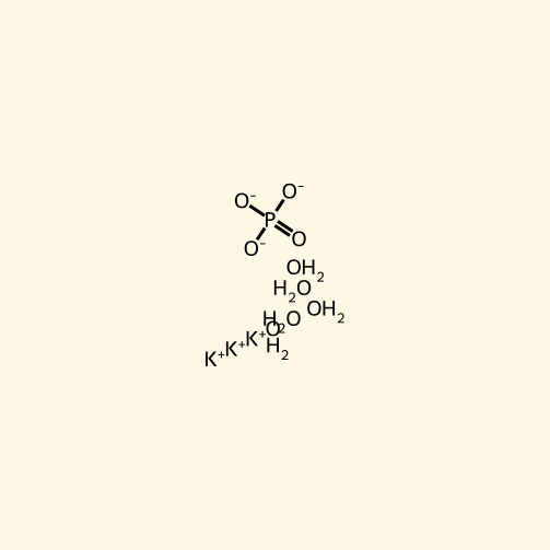 O.O.O.O.O.O=P([O-])([O-])[O-].[K+].[K+].[K+]